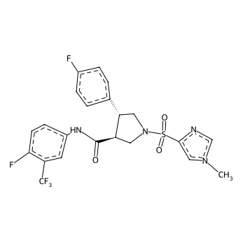 Cn1cnc(S(=O)(=O)N2C[C@@H](C(=O)Nc3ccc(F)c(C(F)(F)F)c3)[C@H](c3ccc(F)cc3)C2)c1